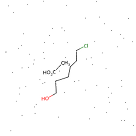 CC(=O)O.OCCCCCCCl